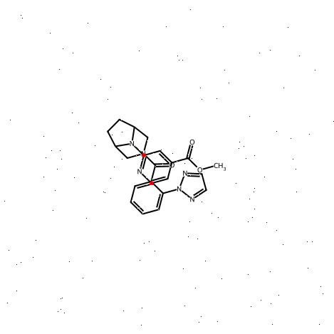 COC(=O)c1ccnc(N2C3CCC2CN(C(=O)c2ccccc2-n2nccn2)C3)c1